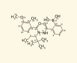 CCC(N(NC(=O)c1ccccc1B(O)O)C(=O)c1cccc(OC)c1C)C(C)(C)C